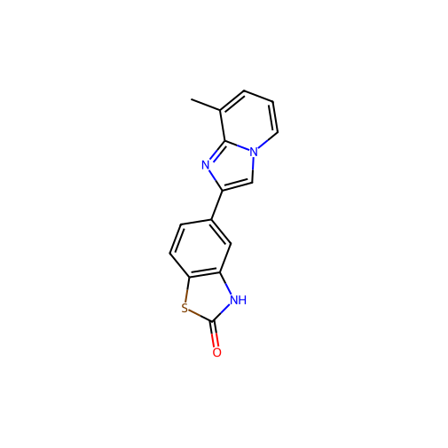 Cc1cccn2cc(-c3ccc4sc(=O)[nH]c4c3)nc12